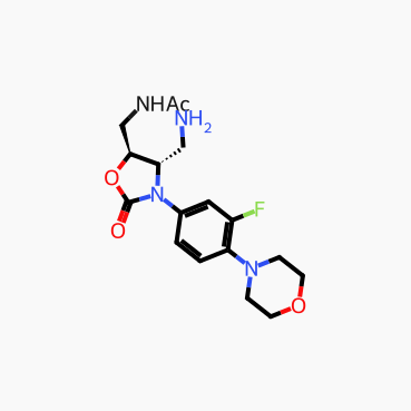 CC(=O)NC[C@@H]1OC(=O)N(c2ccc(N3CCOCC3)c(F)c2)[C@H]1CN